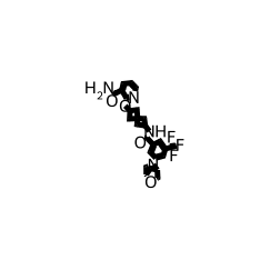 NC(=O)c1cccnc1OC1CC2(CC(NC(=O)c3cc(N4CC5CC4CO5)cc(C(F)(F)F)c3)C2)C1